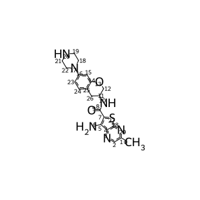 Cc1cnc2c(N)c(C(=O)N[C@@H]3COc4cc(N5CCNCC5)ccc4C3)sc2n1